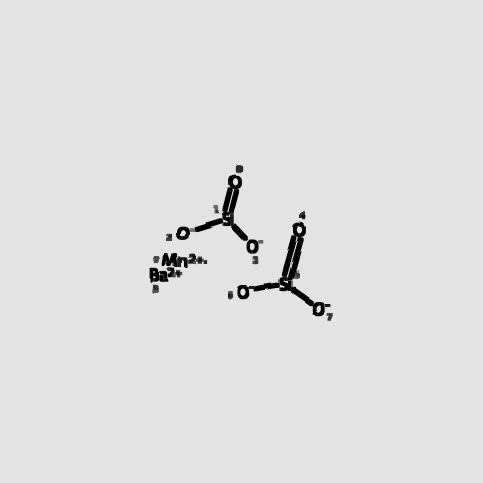 O=[Si]([O-])[O-].O=[Si]([O-])[O-].[Ba+2].[Mn+2]